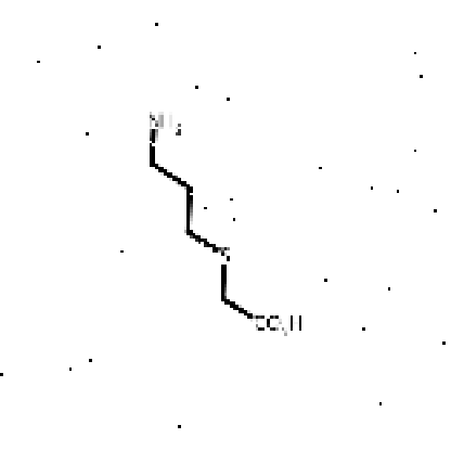 NCCCSCC(=O)O